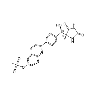 C[C@]1([C@H](O)c2ccc(-c3ccc4cc(OS(C)(=O)=O)ccc4c3)cc2)NC(=O)NC1=O